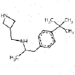 CC(Cc1ccc(C(C)(C)C)cc1)NCC1CNC1